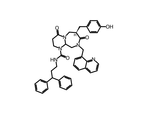 O=C1[C@H](Cc2ccc(O)cc2)CN2C(=O)CCN(C(=O)NCCC(c3ccccc3)c3ccccc3)C2CN1Cc1cccc2cccnc12